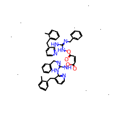 Cc1ccccc1Cc1cccnc1NC(=NCc1ccccc1)NOC(=O)/C=C\C(=O)ONC(=NCc1ccccc1)Nc1ncccc1Cc1ccccc1C